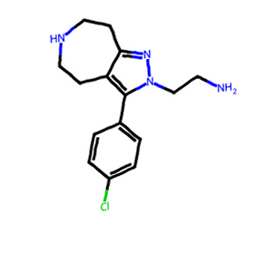 NCCn1nc2c(c1-c1ccc(Cl)cc1)CCNCC2